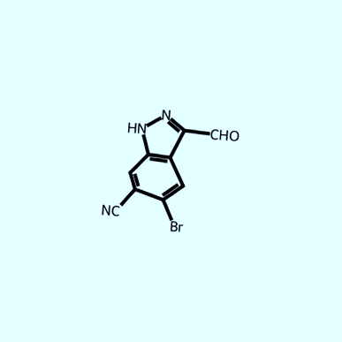 N#Cc1cc2[nH]nc(C=O)c2cc1Br